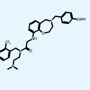 COc1ccc(CN2CCOc3c(cccc3NCC(=O)N(CCN(C)C)Cc3ccccc3C(F)(F)F)C2)cc1